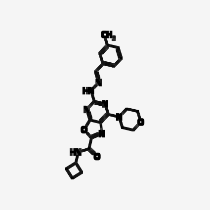 Cc1cccc(/C=N/Nc2nc(N3CCOCC3)c3nc(C(=O)NC4CCC4)oc3n2)c1